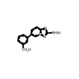 CC(=O)Nc1nc2ccc(-c3cccc(C(=O)O)c3)cn2n1